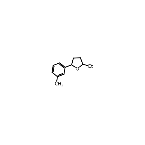 CCC1CCC(c2cccc(C)c2)O1